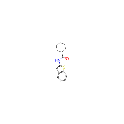 O=C(Nc1cc2ccccc2s1)C1CCCCC1